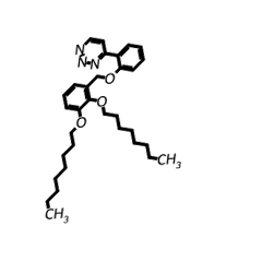 CCCCCCCCOc1cccc(COc2ccccc2-c2ccnnn2)c1OCCCCCCCC